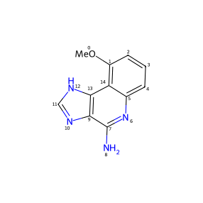 COc1cccc2nc(N)c3nc[nH]c3c12